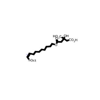 CCCCCCCC/C=C\CCCCCCCCOC(=O)CC(O)(CC(=O)O)C(=O)O